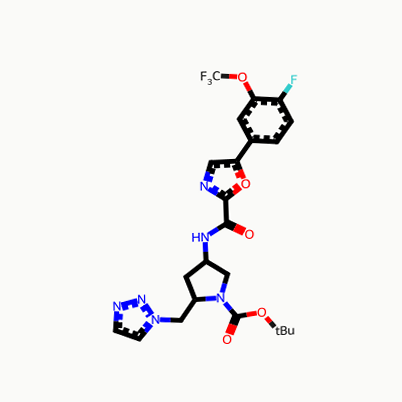 CC(C)(C)OC(=O)N1CC(NC(=O)c2ncc(-c3ccc(F)c(OC(F)(F)F)c3)o2)CC1Cn1ccnn1